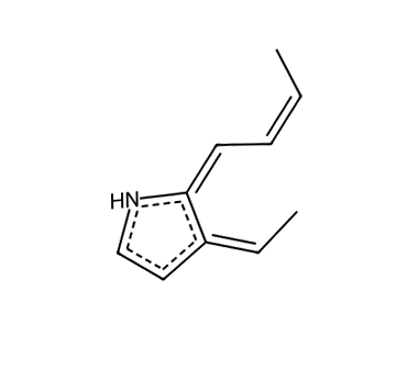 C\C=C/C=c1/[nH]cc/c1=C/C